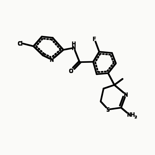 CC1(c2ccc(F)c(C(=O)Nc3ccc(Cl)cn3)c2)CCSC(N)=N1